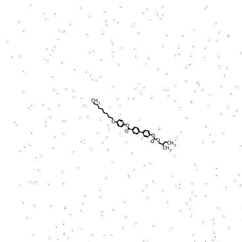 CCCCCCCCCOc1ccc(OC(=O)c2ccc(-c3ccc(OC(=O)OC[C@@H](C)CC)cc3)cc2)cc1